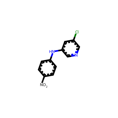 O=[N+]([O-])c1ccc(Nc2cncc(Cl)c2)cc1